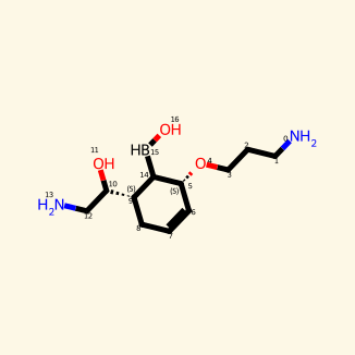 NCCCO[C@@H]1C=CC[C@H](C(O)CN)C1BO